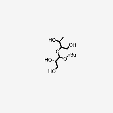 CCCCO[C@H](OC(CO)[C@H](C)O)[C@@H](O)CO